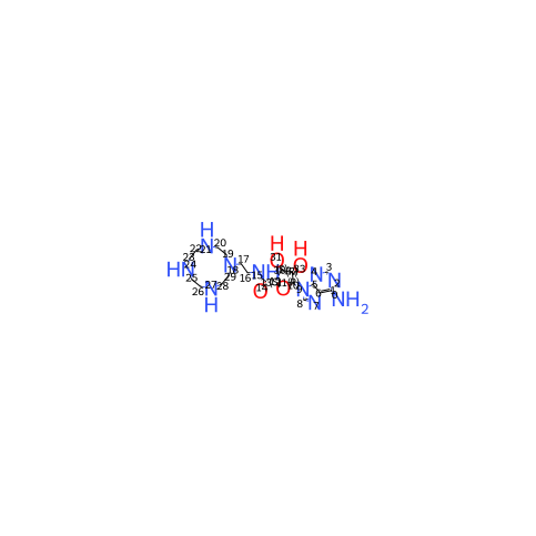 Nc1ncnc2c1ncn2[C@@H]1O[C@H](C(=O)NCCN2CCNCCNCCNCC2)[C@@H](O)[C@H]1O